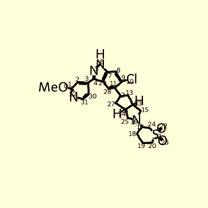 COc1cc(-c2n[nH]c3cc(Cl)c(C4C[C@@H]5CN(C6CCCS(=O)(=O)C6)C[C@@H]5C4)cc23)ccn1